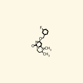 CC1CCn2c(cc(OCc3cccc(F)c3)nc2=O)N1C